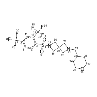 O=S(=O)(c1ccc(C(F)(F)F)cc1C(F)(F)F)N1CC2(CN(CC3CCOCC3)C2)C1